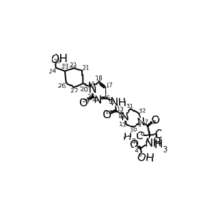 CC(C)(NC(=O)O)C(=O)N1CCN(C(=O)Nc2ccn(C3CCC(CO)CC3)c(=O)n2)CC1